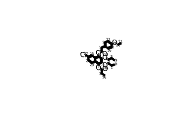 CCCOc1c(OCCC)c(OC(=O)Cc2ccc(OCC)cc2)c2cc(Cl)ccc2c1OC(=O)CC